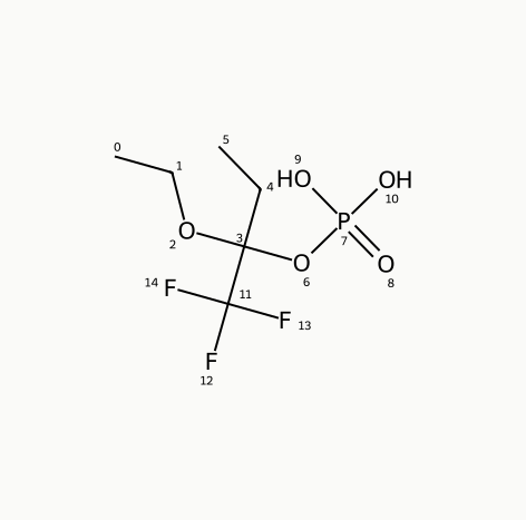 CCOC(CC)(OP(=O)(O)O)C(F)(F)F